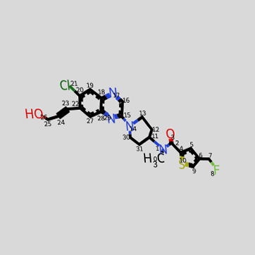 CN(C(=O)c1cc(CF)cs1)C1CCN(c2cnc3cc(Cl)c(C#CCO)cc3n2)CC1